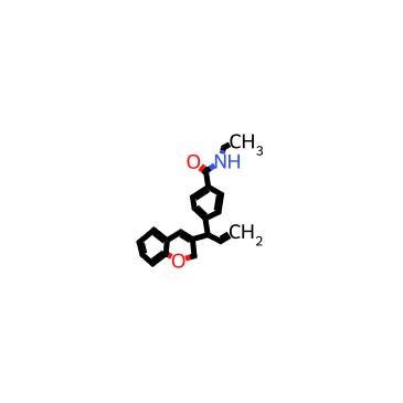 C=CC(C1=Cc2ccccc2OC1)c1ccc(C(=O)NCC)cc1